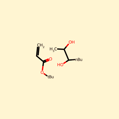 C=CC(=O)OC(C)(C)C.CCCCC(O)C(C)O